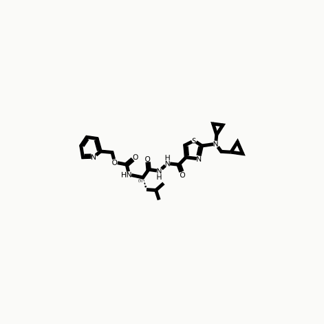 CC(C)C[C@H](NC(=O)OCc1ccccn1)C(=O)NNC(=O)c1csc(N(CC2CC2)C2CC2)n1